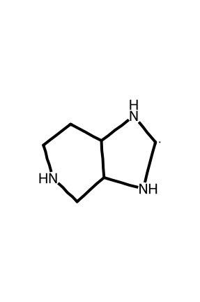 [CH]1NC2CCNCC2N1